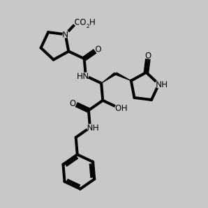 O=C(NCc1ccccc1)C(O)[C@H](C[C@@H]1CCNC1=O)NC(=O)C1CCCN1C(=O)O